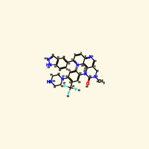 CN1Cc2cnc3ccc(-c4ccc5[nH]ncc5c4)nc3c2N(c2ccc(N3CCNCC3)c(C(F)(F)F)c2)C1=O